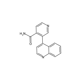 NC(=O)c1ccncc1-c1ccnc2ccccc12